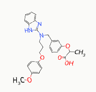 COc1ccc(OCCCN(Cc2cccc(OC(C)C(=O)O)c2)c2nc3ccccc3[nH]2)cc1